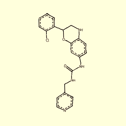 O=C(NCc1ccncc1)Nc1ccc2c(c1)OC(c1ccccc1Cl)CN2